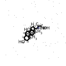 C/C(=C\C1CC[C@@]2(O)[C@@H]3CCC4CC(O)CC[C@]4(C)[C@@H]3CC[C@]12C)CNO